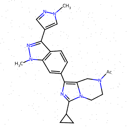 CC(=O)N1CCn2c(C3CC3)nc(-c3ccc4c(-c5cnn(C)c5)nn(C)c4c3)c2C1